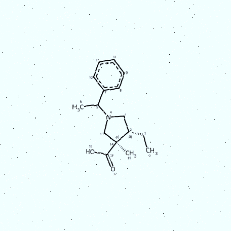 CC[C@H]1CN(C(C)c2ccccc2)C[C@]1(C)C(=O)O